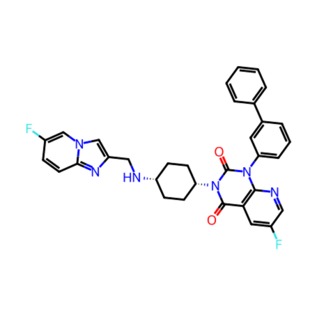 O=c1c2cc(F)cnc2n(-c2cccc(-c3ccccc3)c2)c(=O)n1[C@H]1CC[C@@H](NCc2cn3cc(F)ccc3n2)CC1